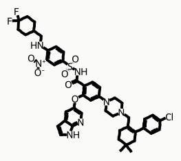 CC1(C)CCC(CN2CCN(c3ccc(C(=O)NS(=O)(=O)c4ccc(NCC5CCC(F)(F)CC5)c([N+](=O)[O-])c4)c(Oc4cnc5[nH]ccc5c4)c3)CC2)=C(c2ccc(Cl)cc2)C1